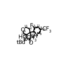 CC(C)(C)OC(=O)NC1(c2ncc(C(F)(F)F)cc2F)CCOCC1(C)O